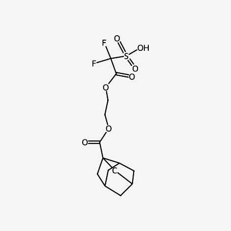 O=C(OCCOC(=O)C(F)(F)S(=O)(=O)O)C12CC3CC(CC1C3)C2